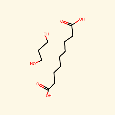 O=C(O)CCCCCCCC(=O)O.OCCCO